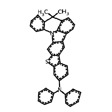 CC1(C)c2ccccc2-n2c3cc4sc5cc(N(c6ccccc6)c6ccccc6)ccc5c4cc3c3cccc1c32